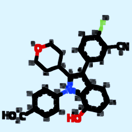 N#Cc1cc(-c2c(C3CCOCC3)n(-c3ccc(C(=O)O)cc3)c3c(O)cccc23)ccc1F